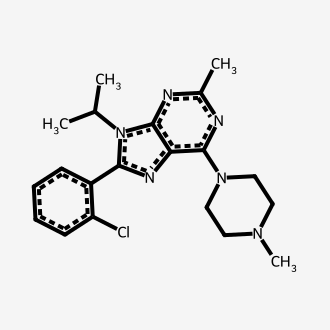 Cc1nc(N2CCN(C)CC2)c2nc(-c3ccccc3Cl)n(C(C)C)c2n1